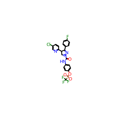 O=C(Nc1ccc(OS(=O)(=O)C(F)(F)F)cc1)N1CC(c2ccc(Cl)cn2)C(c2ccc(F)cc2)=N1